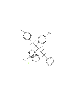 Cc1ccc(C(C)(C)C(C)(c2ccc(C#N)cc2)C(C)(c2ccc(C(F)(F)F)cc2)C(C)(c2ccc(F)cc2)C(C)(C)c2ccccc2)cc1